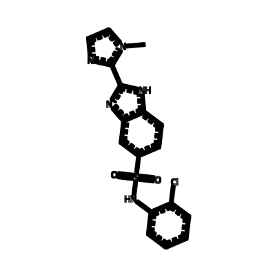 Cn1ccnc1-c1nc2cc(S(=O)(=O)Nc3ccccc3Cl)ccc2[nH]1